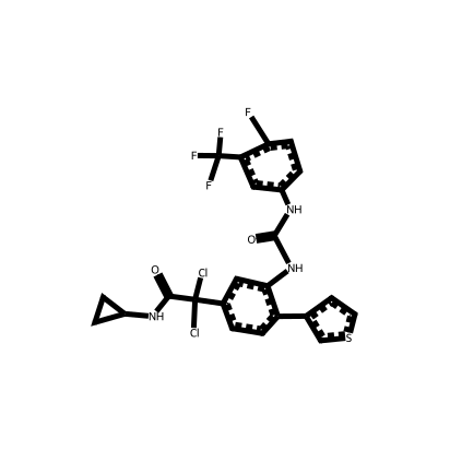 O=C(Nc1ccc(F)c(C(F)(F)F)c1)Nc1cc(C(Cl)(Cl)C(=O)NC2CC2)ccc1-c1ccsc1